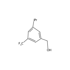 CC(C)c1cc(CO)cc(C(F)(F)F)c1